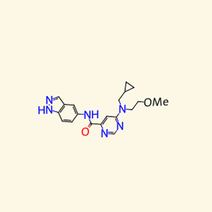 COCCN(CC1CC1)c1cc(C(=O)Nc2ccc3[nH]ncc3c2)ncn1